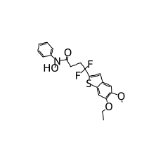 CCOc1cc2sc(C(F)(F)CCC(=O)N(O)c3ccccc3)cc2cc1OC